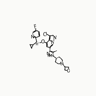 Cc1c(-c2cc(OC[C@@H](c3ccc(F)cn3)C3CC3)c3c(Cl)cnn3c2)nnn1C1CCN(C2COC2)CC1